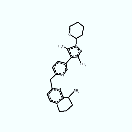 Cc1nn(C2CCCCO2)c(C)c1-c1ccc(Cc2ccc3c(n2)C(N)CCC3)nc1